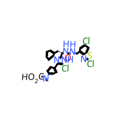 CN(C(=O)O)c1ccc(-c2nc([C@H](Cc3ccccc3)NC(=O)NCc3cc(Cl)cc4sc(Cl)nc34)[nH]c2Cl)cc1